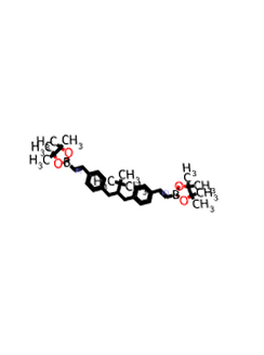 CC(C)(C)C(Cc1ccc(/C=C/B2OC(C)(C)C(C)(C)O2)cc1)Cc1ccc(/C=C/B2OC(C)(C)C(C)(C)O2)cc1